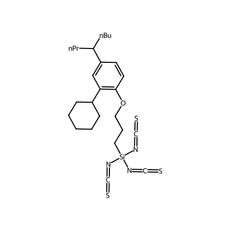 CCCCC(CCC)c1ccc(OCCC[Si](N=C=S)(N=C=S)N=C=S)c(C2CCCCC2)c1